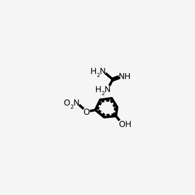 N=C(N)N.O=[N+]([O-])Oc1cccc(O)c1